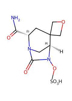 NC(=O)[C@@H]1CC2(COC2)[C@@H]2CN1C(=O)N2OS(=O)(=O)O